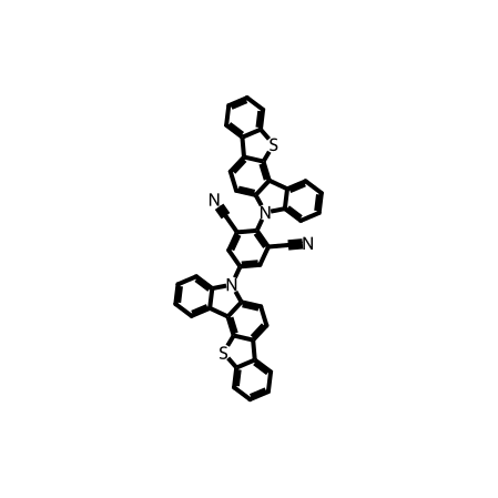 N#Cc1cc(-n2c3ccccc3c3c4sc5ccccc5c4ccc32)cc(C#N)c1-n1c2ccccc2c2c3sc4ccccc4c3ccc21